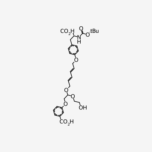 CC(C)(C)OC(=O)N[C@@H](Cc1ccc(OC/C=C/C=C/COC(COc2cccc(C(=O)O)c2)OCCO)cc1)C(=O)O